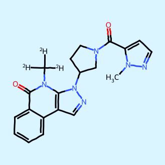 [2H]C([2H])([2H])n1c(=O)c2ccccc2c2cnn(C3CCN(C(=O)c4ccnn4C)C3)c21